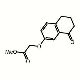 COC(=O)COc1ccc2c(c1)C(=O)CCC2